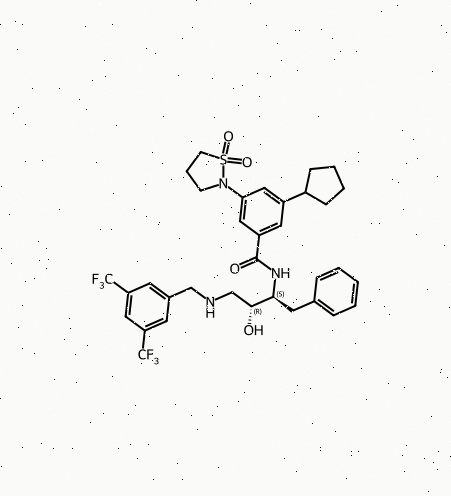 O=C(N[C@@H](Cc1ccccc1)[C@H](O)CNCc1cc(C(F)(F)F)cc(C(F)(F)F)c1)c1cc(C2CCCC2)cc(N2CCCS2(=O)=O)c1